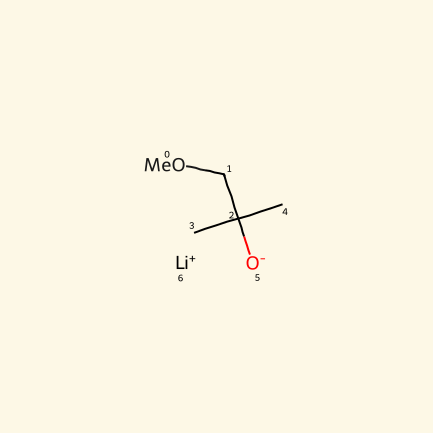 COCC(C)(C)[O-].[Li+]